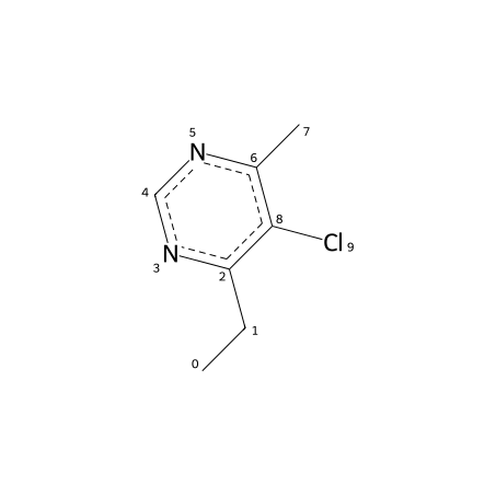 CCc1ncnc(C)c1Cl